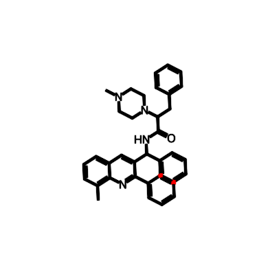 Cc1cccc2cc(C(NC(=O)C(Cc3ccccc3)N3CCN(C)CC3)c3ccccc3)c(-c3ccccc3)nc12